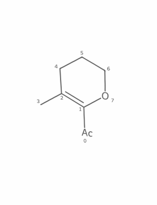 CC(=O)C1=C(C)CCCO1